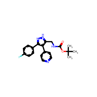 CC(C)(C)OC(=O)NCc1[nH]nc(-c2ccc(F)cc2)c1-c1ccncc1